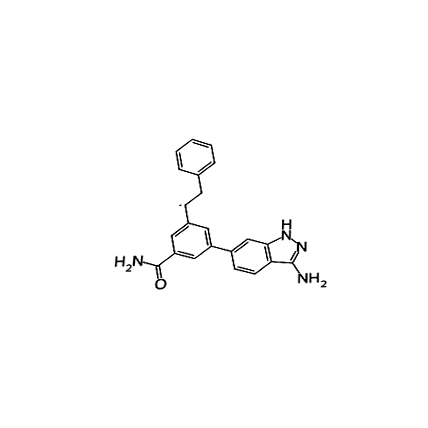 NC(=O)c1cc([CH]Cc2ccccc2)cc(-c2ccc3c(N)n[nH]c3c2)c1